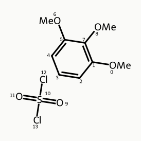 COc1cccc(OC)c1OC.O=S(=O)(Cl)Cl